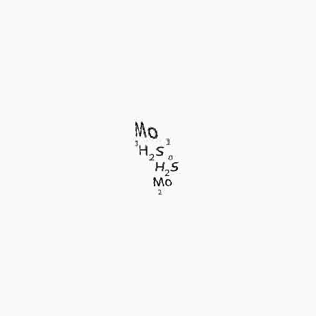 S.S.[Mo].[Mo]